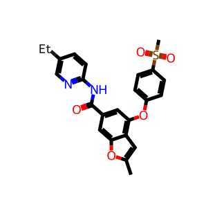 CCc1ccc(NC(=O)c2cc(Oc3ccc(S(C)(=O)=O)cc3)c3cc(C)oc3c2)nc1